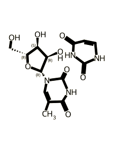 Cc1cn([C@@H]2O[C@H](CO)[C@@H](O)[C@H]2O)c(=O)[nH]c1=O.O=c1cc[nH]c(=O)[nH]1